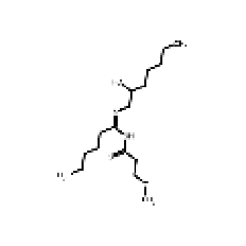 CCCCC/C(=N/CC(O)CCCCC)NC(=O)CCOC